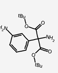 CC(C)(C)OC(=O)C(N)(C(=O)OC(C)(C)C)c1cccc(N)c1